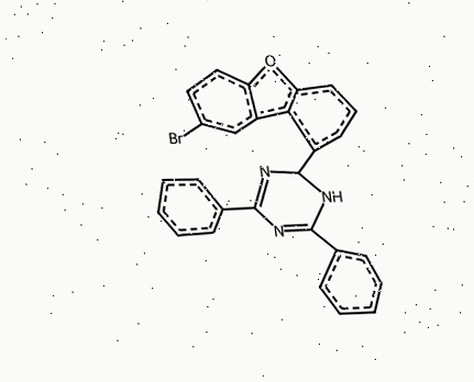 Brc1ccc2oc3cccc(C4N=C(c5ccccc5)N=C(c5ccccc5)N4)c3c2c1